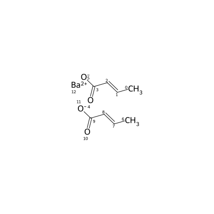 C/C=C/C(=O)[O-].C/C=C/C(=O)[O-].[Ba+2]